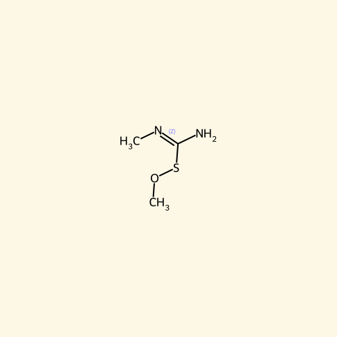 C/N=C(/N)SOC